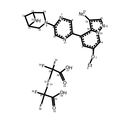 CCOc1cc(-c2cnc(N3CC4CC(C3)N4)cn2)c2c(C#N)cnn2c1.O=C(O)C(F)(F)F.O=C(O)C(F)(F)F